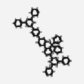 c1ccc(-c2nc(-c3ccccc3)nc(-c3ccc(-c4ccc5c(c4)OC(c4ccccc4)(c4ccccc4)c4cc(-c6nc(-c7ccccc7)nc(-c7ccccc7)n6)ccc4-5)cc3)n2)cc1